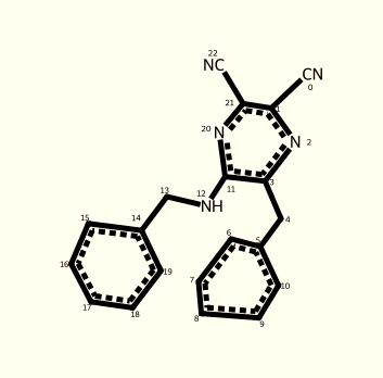 N#Cc1nc(Cc2ccccc2)c(NCc2ccccc2)nc1C#N